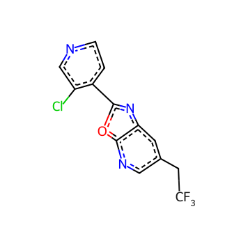 FC(F)(F)Cc1cnc2oc(-c3ccncc3Cl)nc2c1